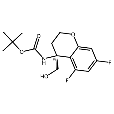 CC(C)(C)OC(=O)N[C@]1(CO)CCOc2cc(F)cc(F)c21